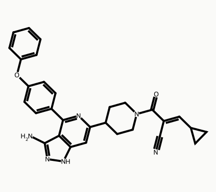 N#C/C(=C\C1CC1)C(=O)N1CCC(c2cc3[nH]nc(N)c3c(-c3ccc(Oc4ccccc4)cc3)n2)CC1